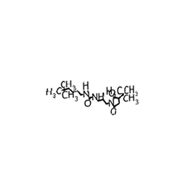 CC(C)(C)CCCCNC(=O)NCCCN1C(=O)CC(C(C)(C)C)C1=O